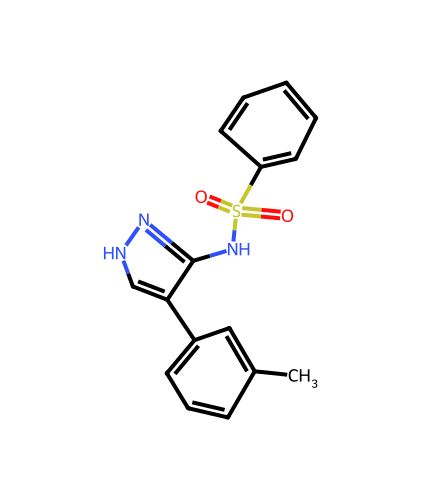 Cc1cccc(-c2c[nH]nc2NS(=O)(=O)c2ccccc2)c1